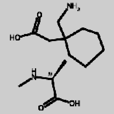 CN[C@@H](C)C(=O)O.NCC1(CC(=O)O)CCCCC1